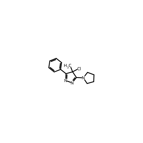 CC1(Cl)C(c2ccccc2)=NN=C1N1CCCC1